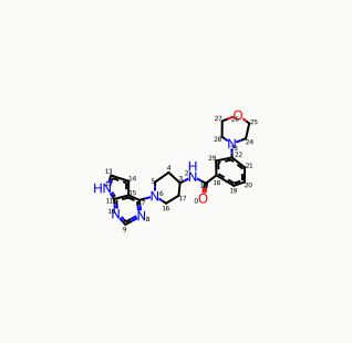 O=C(NC1CCN(c2ncnc3[nH]ccc23)CC1)c1cccc(N2CCOCC2)c1